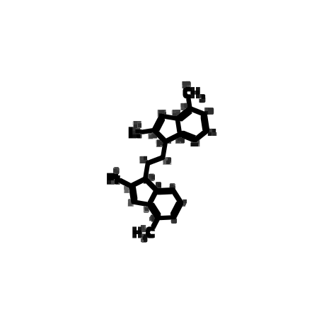 CCC1=Cc2c(C)cccc2[C]1CC[C]1C(CC)=Cc2c(C)cccc21